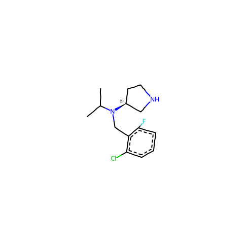 CC(C)N(Cc1c(F)cccc1Cl)[C@H]1CCNC1